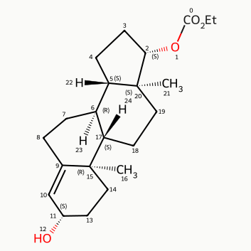 CCOC(=O)O[C@H]1CC[C@H]2[C@@H]3CCC4=C[C@@H](O)CC[C@]4(C)[C@H]3CC[C@]12C